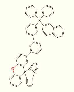 c1cc(-c2ccc3c(c2)C2(c4ccccc4O3)c3ccccc3-c3ccccc32)cc(-c2ccc3c(c2)C2(c4ccccc4-3)c3ccccc3-c3c2ccc2ccccc32)c1